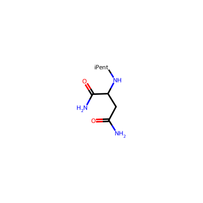 CCCC(C)NC(CC(N)=O)C(N)=O